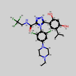 CCN1CCN(c2cc(F)c(-n3c(C(=O)NCC(F)(F)F)nnc3-c3cc(C(C)C)c(O)cc3O)c(F)c2)CC1